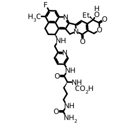 CC[C@@]1(O)C(=O)OCc2c1cc1n(c2=O)Cc2c-1nc1cc(F)c(C)c3c1c2[C@@H](NCc1ccc(NC(=O)[C@H](CCCNC(N)=O)NC(=O)O)cn1)CC3